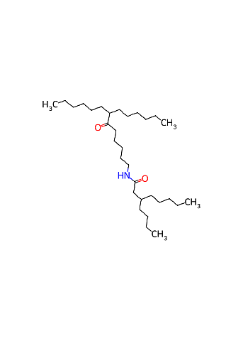 CCCCCCC(CCCCCC)C(=O)CCCCCNC(=O)CC(CCCC)CCCCC